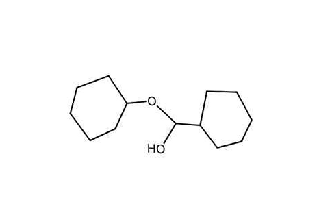 OC(OC1CCCCC1)C1CCCCC1